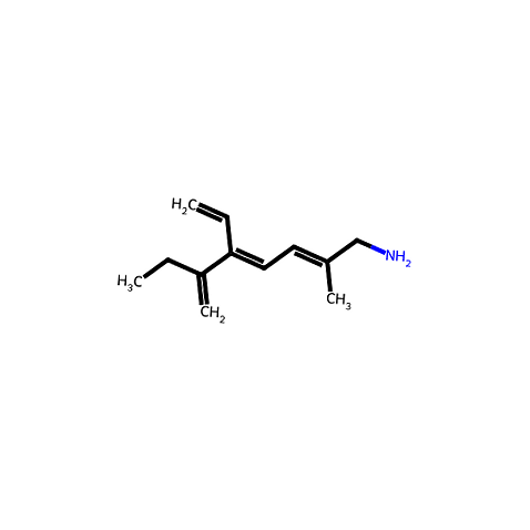 C=C/C(=C\C=C(/C)CN)C(=C)CC